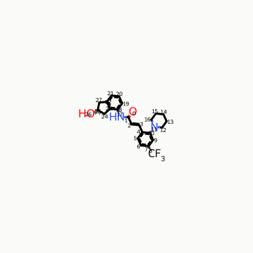 O=C(C=Cc1ccc(C(F)(F)F)cc1N1CCCCC1)Nc1cccc2c1C[C@H](O)C2